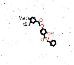 COc1ccc(C(=O)COc2ccc(C(=O)OCc3ccccc3)c(O)c2)cc1C(C)(C)C